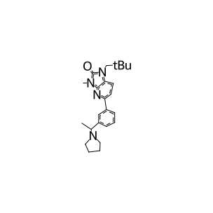 CC(c1cccc(-c2ccc3c(n2)n(C)c(=O)n3CC(C)(C)C)c1)N1CCCC1